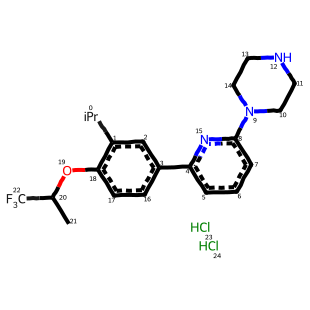 CC(C)c1cc(-c2cccc(N3CCNCC3)n2)ccc1OC(C)C(F)(F)F.Cl.Cl